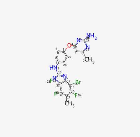 Cc1cc(Oc2ccc(Nc3nc4c(Br)c(F)c(C)c(F)c4n3F)cc2)nc(N)n1